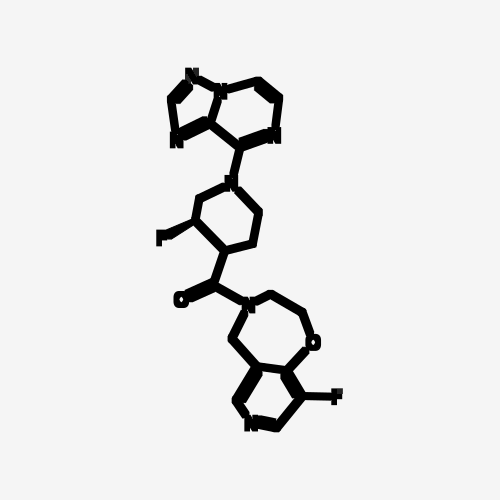 O=C(C1CCN(c2nccn3ncnc23)C[C@@H]1F)N1CCOc2c(F)cncc2C1